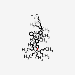 CCCCNCCCC(C)(CCCC)c1cc(C)c(O)c(/C=N/[C@@H]2CCCC[C@H]2/N=C/c2cc(C(C)(CCCN(CCCC)C(CCC)CCCC)CCCN(CCCC)C(CCC)CCCC)cc(C)c2O)c1